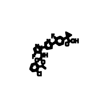 CC(OC(=O)Nc1c(F)cnn1-c1ccc(-c2ccc(C3(C(=O)O)CC3)cc2F)nc1)c1ccccc1Cl